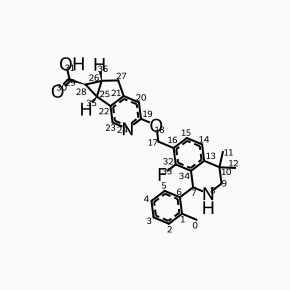 Cc1ccccc1C1NCC(C)(C)c2ccc(COc3cc4c(cn3)[C@H]3[C@@H](C4)[C@@H]3C(=O)O)c(F)c21